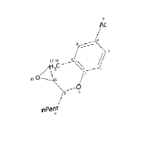 CCCCCC(Oc1ccc(C(C)=O)cc1C)C1CO1